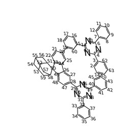 c1ccc(-c2nc(-c3ccccc3)nc(-c3cccc(-c4ccc5c(c4)-c4cc(-c6nc(-c7ccccc7)nc(-c7ccccc7)n6)ccc4C54C5CC6CC(C5)CC4C6)c3)n2)cc1